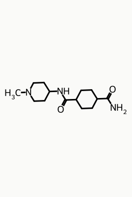 CN1CCC(NC(=O)C2CCC(C(N)=O)CC2)CC1